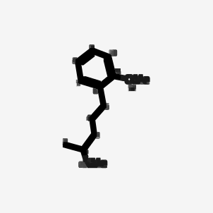 CNC(C)CCCc1ccccc1OC